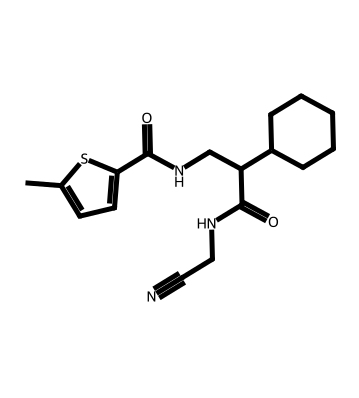 Cc1ccc(C(=O)NCC(C(=O)NCC#N)C2CCCCC2)s1